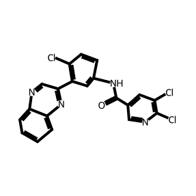 O=C(Nc1ccc(Cl)c(-c2cnc3ccccc3n2)c1)c1cnc(Cl)c(Cl)c1